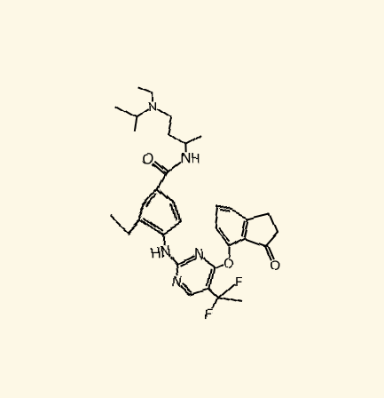 CCc1cc(C(=O)NC(C)CCN(CC)C(C)C)ccc1Nc1ncc(C(C)(F)F)c(Oc2cccc3c2C(=O)CC3)n1